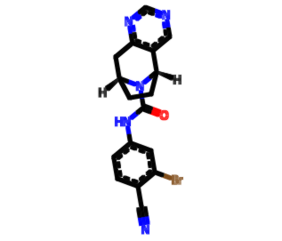 N#Cc1ccc(NC(=O)N2[C@@H]3CC[C@H]2c2cncnc2C3)cc1Br